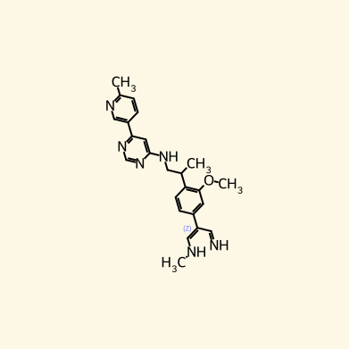 CN/C=C(\C=N)c1ccc(C(C)CNc2cc(-c3ccc(C)nc3)ncn2)c(OC)c1